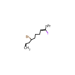 C=CCC(Br)CCCC=C(I)CCC